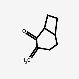 C=C1CCC2CCC2C1=O